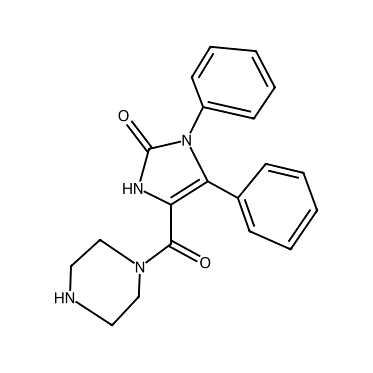 O=C(c1[nH]c(=O)n(-c2ccccc2)c1-c1ccccc1)N1CCNCC1